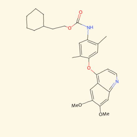 COc1cc2nccc(Oc3cc(C)c(NC(=O)OCCC4CCCCC4)cc3C)c2cc1OC